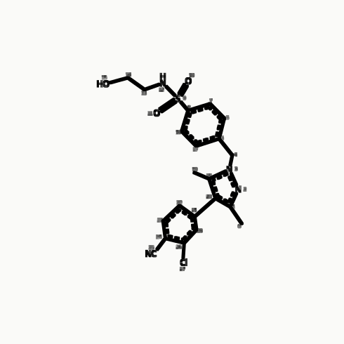 Cc1nn(Cc2ccc(S(=O)(=O)NCCO)cc2)c(C)c1-c1ccc(C#N)c(Cl)c1